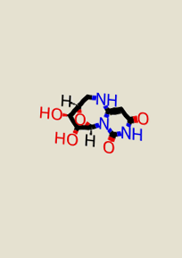 O=c1cc2n(c(=O)[nH]1)[C@@H]1O[C@H](CN2)[C@H](O)C1O